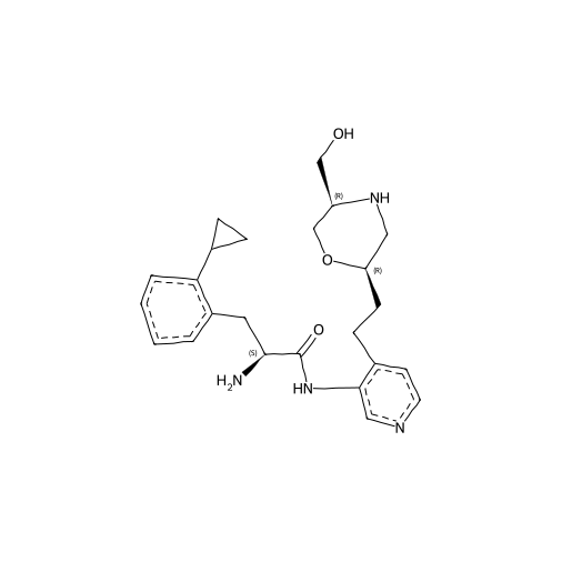 N[C@@H](Cc1ccccc1C1CC1)C(=O)Nc1cnccc1CC[C@@H]1CN[C@H](CO)CO1